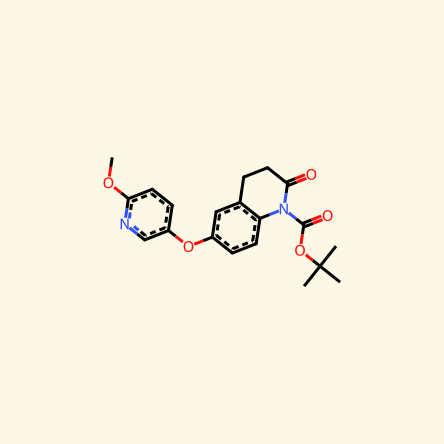 COc1ccc(Oc2ccc3c(c2)CCC(=O)N3C(=O)OC(C)(C)C)cn1